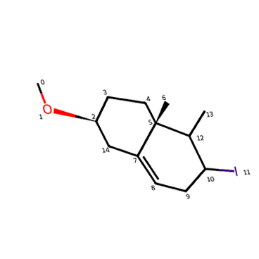 CO[C@H]1CC[C@@]2(C)C(=CCC(I)C2C)C1